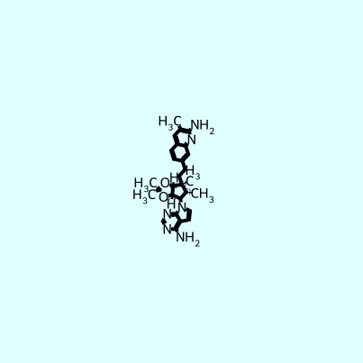 Cc1cc2ccc(CC[C@@]3(C)[C@H](C)C(n4ccc5c(N)ncnc54)[C@@H]4OC(C)(C)O[C@@H]43)cc2nc1N